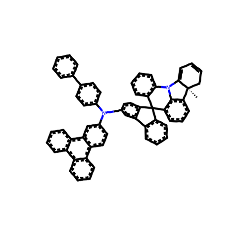 C[C@@]12CC=CC=C1N1c3ccccc3C3(c4ccccc4-c4cc(N(c5ccc(-c6ccccc6)cc5)c5ccc6c7ccccc7c7ccccc7c6c5)ccc43)c3cccc2c31